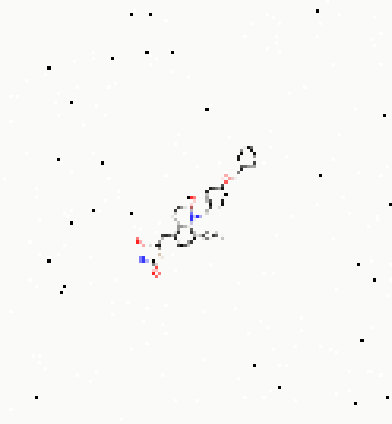 COc1ccc(CC2SC(=O)NC2=O)c2c1N(Cc1ccc(OCc3ccccc3)cc1)C(=O)CC2